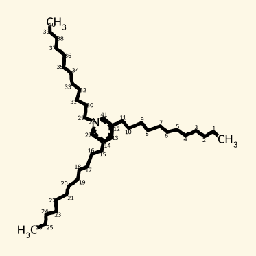 CCCCCCCCCCCCc1cc(CCCCCCCCCCCC)c[n+](CCCCCCCCCCCC)c1